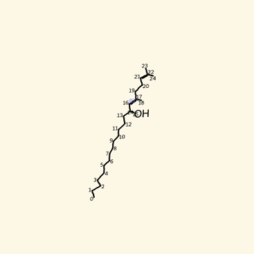 CCCCCCCCCCCCCCC(O)/C=C(\C)CCC=C(C)C